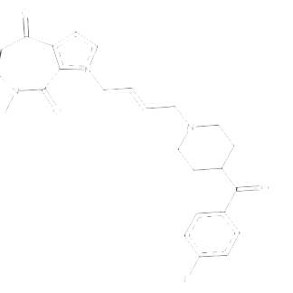 CN1CCC(=O)c2ccn(C/C=C/CN3CCC(C(=O)c4ccc(F)cc4)CC3)c2C1=O